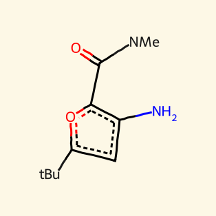 CNC(=O)c1oc(C(C)(C)C)cc1N